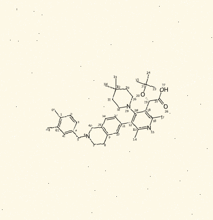 Cc1ccc(CN2CCc3cc(-c4c(C)nc(C)c([C@H](OC(C)(C)C)C(=O)O)c4N4CCC(C)(C)CC4)ccc3C2)cc1C